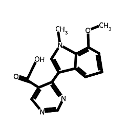 COc1cccc2c(-c3ncncc3C(=O)O)cn(C)c12